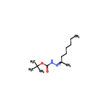 CCCCCC/C(C)=N\NC(=O)OC(C)(C)C